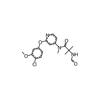 COc1cc(Oc2cc(N(C)C(=O)C(C)(C)NC=O)ccn2)ccc1Cl